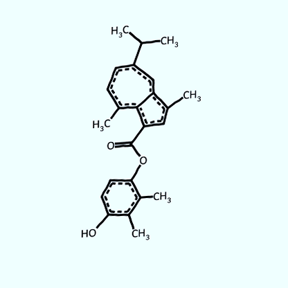 Cc1cc(C(=O)Oc2ccc(O)c(C)c2C)c2c(C)ccc(C(C)C)cc1-2